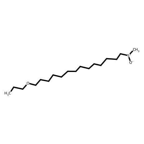 CCCOCCCCCCCCCCCCCC[S+](C)[O-]